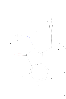 CC#CCC1=C(NC=O)C(=O)c2ccccc21